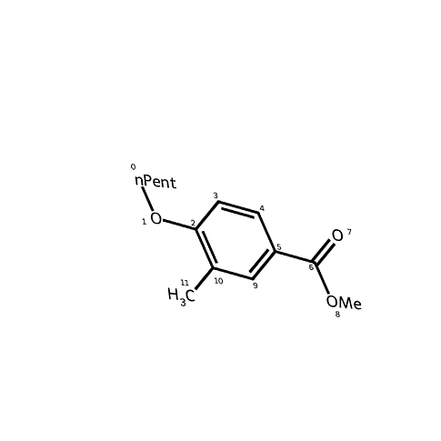 CCCCCOc1ccc(C(=O)OC)cc1C